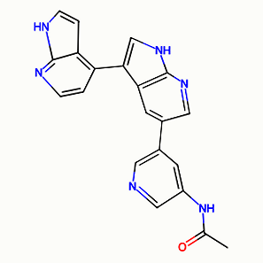 CC(=O)Nc1cncc(-c2cnc3[nH]cc(-c4ccnc5[nH]ccc45)c3c2)c1